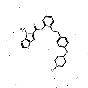 CN1CCC(Oc2ccc(COc3ccccc3NC(=O)c3cc4sccc4n3C)cc2)CC1